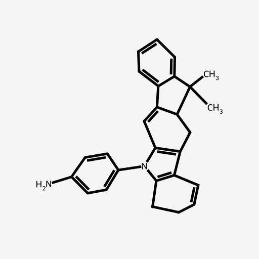 CC1(C)c2ccccc2C2=Cc3c(c4c(n3-c3ccc(N)cc3)CCC=C4)CC21